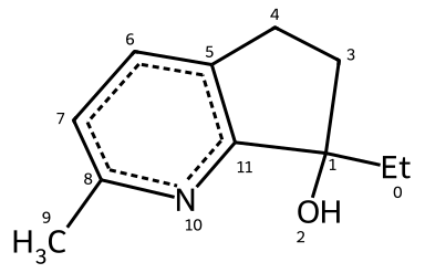 CCC1(O)CCc2ccc(C)nc21